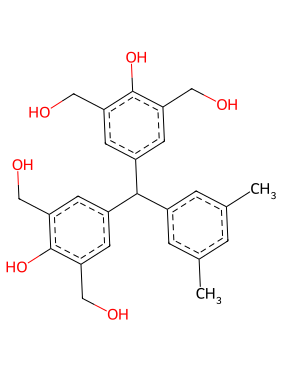 Cc1cc(C)cc(C(c2cc(CO)c(O)c(CO)c2)c2cc(CO)c(O)c(CO)c2)c1